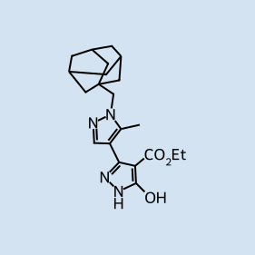 CCOC(=O)c1c(-c2cnn(CC34CC5CC(CC(C5)C3)C4)c2C)n[nH]c1O